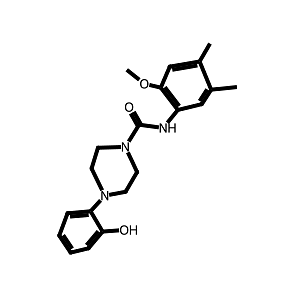 COc1cc(C)c(C)cc1NC(=O)N1CCN(c2ccccc2O)CC1